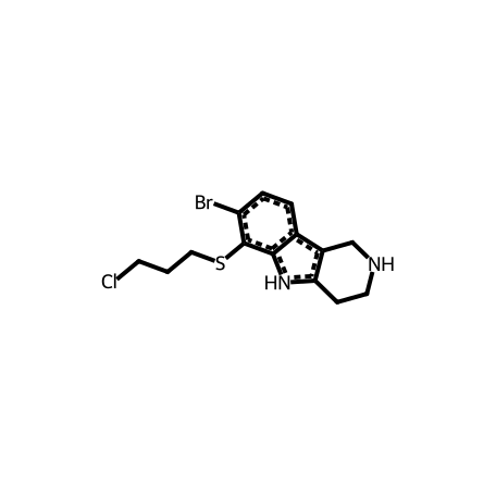 ClCCCSc1c(Br)ccc2c3c([nH]c12)CCNC3